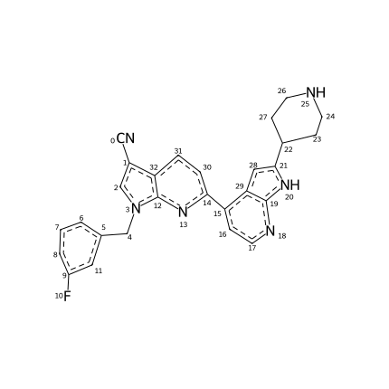 N#Cc1cn(Cc2cccc(F)c2)c2nc(-c3ccnc4[nH]c(C5CCNCC5)cc34)ccc12